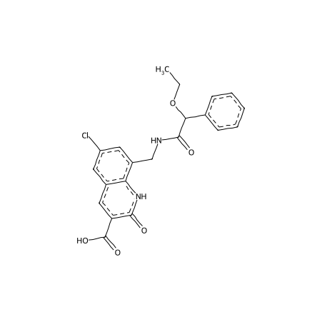 CCOC(C(=O)NCc1cc(Cl)cc2cc(C(=O)O)c(=O)[nH]c12)c1ccccc1